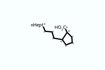 CCCCCCCCCCC1CCCC1C(=O)O